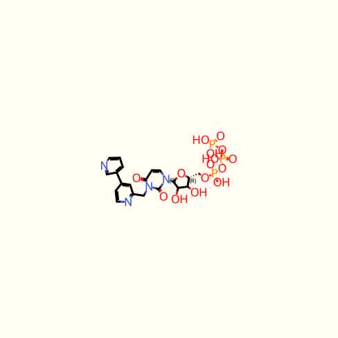 O=c1ccn([C@@H]2O[C@H](COP(=O)(O)OP(=O)(O)OP(=O)(O)O)C(O)C2O)c(=O)n1Cc1cc(-c2cccnc2)ccn1